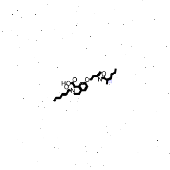 CC=CC=CC(=O)N1CCc2ccc(OCCc3coc(/C(C)=C\CCC)n3)cc2C1C(=O)O